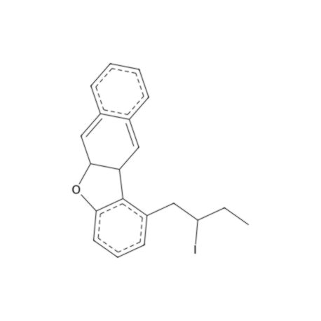 CCC(I)Cc1cccc2c1C1C=c3ccccc3=CC1O2